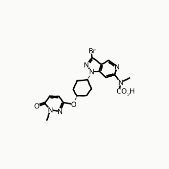 CN(C(=O)O)c1cc2c(cn1)c(Br)nn2[C@H]1CC[C@@H](Oc2ccc(=O)n(C)n2)CC1